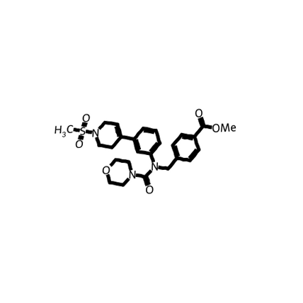 COC(=O)c1ccc(CN(C(=O)N2CCOCC2)c2cccc(C3=CCN(S(C)(=O)=O)CC3)c2)cc1